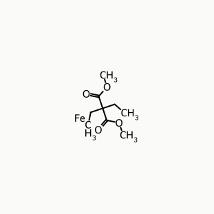 CCC(CC)(C(=O)OC)C(=O)OC.[Fe]